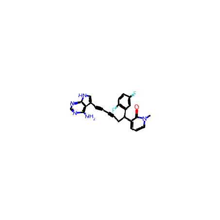 Cn1cccc(C(CC#CC#Cc2c[nH]c3ncnc(N)c23)c2cc(F)ccc2F)c1=O